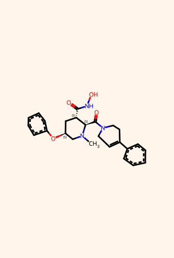 CN1C[C@@H](Oc2ccccc2)C[C@H](C(=O)NO)[C@H]1C(=O)N1CC=C(c2ccccc2)CC1